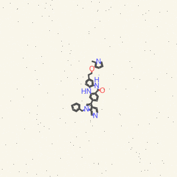 Cc1ncccc1OCCc1ccc2c(c1)NC(=O)c1ccc(-c3cn(Cc4ccccc4)c4cnccc34)cc1N2